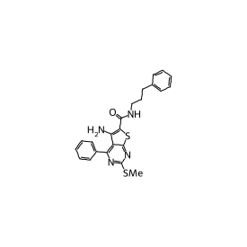 CSc1nc(-c2ccccc2)c2c(N)c(C(=O)NCCCc3ccccc3)sc2n1